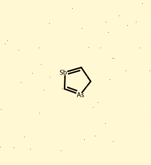 [C]1=[As]C[CH]=[Sb]1